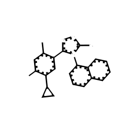 Cc1cc(O)c(C2CC2)cc1-c1nnc(S)n1-c1cccc2ccccc12